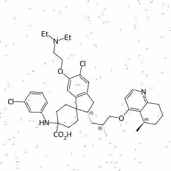 CCN(CC)CCOc1cc2c(cc1Cl)C[C@H](C[C@@H](C)COc1ccnc3c1[C@H](C)CCC3)C21CCC(Nc2cccc(Cl)c2)(C(=O)O)CC1